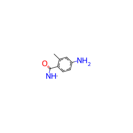 Cc1cc(N)ccc1C([NH])=O